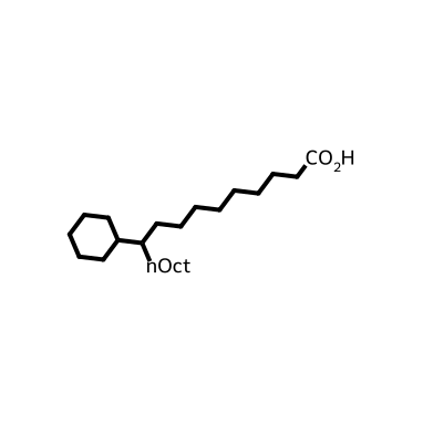 CCCCCCCCC(CCCCCCCCC(=O)O)C1CCCCC1